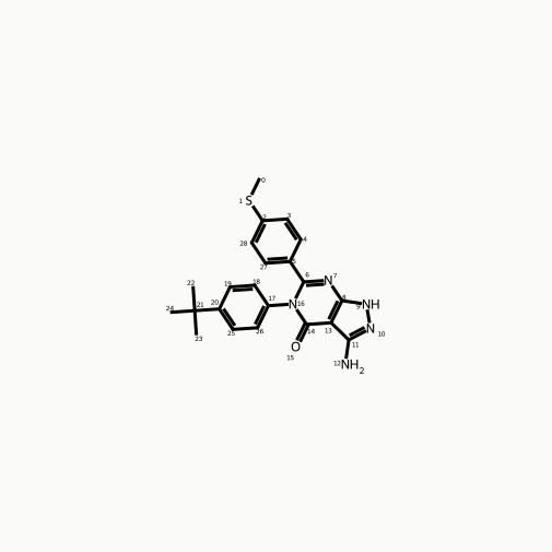 CSc1ccc(-c2nc3[nH]nc(N)c3c(=O)n2-c2ccc(C(C)(C)C)cc2)cc1